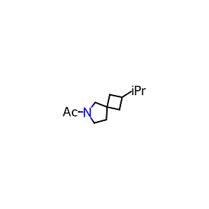 CC(=O)N1CCC2(CC(C(C)C)C2)C1